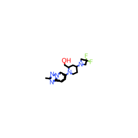 Cc1nc2ccc(N3CCC(N4CC(F)(F)C4)CC3CO)cn2n1